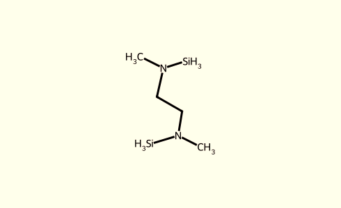 CN([SiH3])CCN(C)[SiH3]